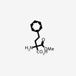 COC(=O)C(N)(CCc1ccccc1)C(=O)O